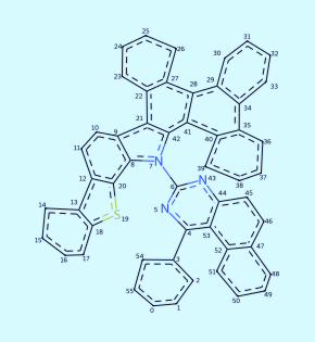 c1ccc(-c2nc(-n3c4c(ccc5c6ccccc6sc54)c4c5ccccc5c5c6ccccc6c6ccccc6c5c43)nc3ccc4ccccc4c23)cc1